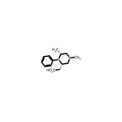 C[C@@H]1CN(C)C[C@H](CC(=O)O)N1c1ccccc1